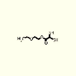 CCOCCOC(=O)C(S)S